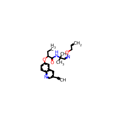 C#Cc1cnc2ccc(OC(CC)C(=O)NC(C)(C)/C=N\OCC=C)cc2c1